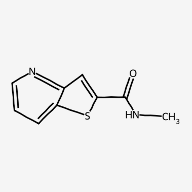 CNC(=O)c1cc2ncccc2s1